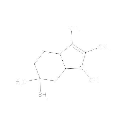 BC1(C)CCC2C(C)=C(C)N(C)C2C1